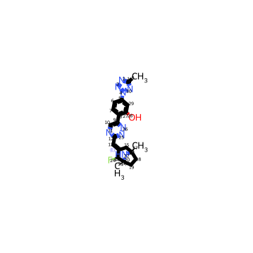 Cc1nnn(-c2ccc(-c3cnc(/C=C4\C[C@@]5(C)CC[C@](C)(N5)[C@H]4F)nn3)c(O)c2)n1